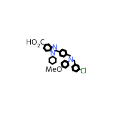 COc1ccc(N(Cc2ccc(-c3nc4cc(C(=O)O)ccc4n3C3CCCCC3)cc2)Cc2cccc(Cl)c2)cc1